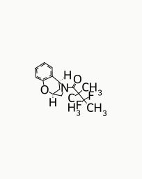 CC(F)(F)C(C)(C)C(=O)N1C[C@@H]2C[C@H]1c1ccccc1O2